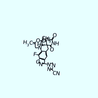 C[C@@H]1CN2c3c(cc4c(-n5cnc(C#N)n5)noc4c3F)CC3(C(=O)NC(=O)NC3=O)[C@H]2[C@H](C)O1